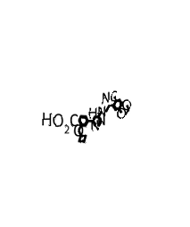 N#Cc1cc2c(cc1CCNc1cc(-c3ccc(C(=O)O)c(OC4CCC4)c3)ncn1)OCCO2